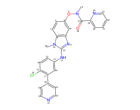 CN(Oc1ccc2c(c1)nc(Nc1ccc(Cl)c(-c3ccncc3)c1)n2C)C(=O)c1ccccn1